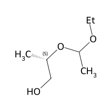 CCOC(C)O[C@@H](C)CO